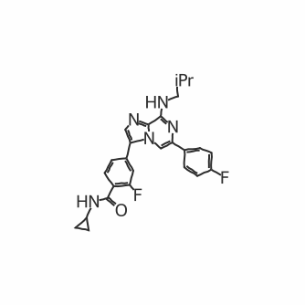 CC(C)CNc1nc(-c2ccc(F)cc2)cn2c(-c3ccc(C(=O)NC4CC4)c(F)c3)cnc12